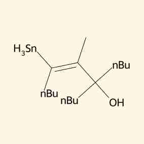 CCCC[C]([SnH3])=C(C)C(O)(CCCC)CCCC